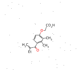 C=C(CC)C(=O)c1ccc(OCC(=O)O)c(C)c1C